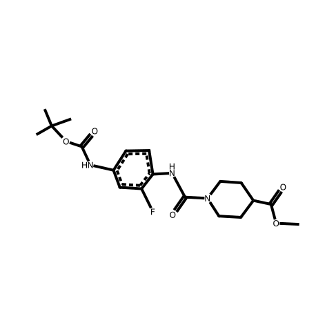 COC(=O)C1CCN(C(=O)Nc2ccc(NC(=O)OC(C)(C)C)cc2F)CC1